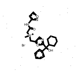 C[N+](C)(CC(=O)Nc1ccon1)Cc1cnc(C(O)(c2ccccc2)C2CCCCC2)o1.[Br-]